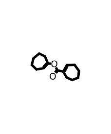 O=C(OC1=CCCCCC1)C1=CCCCCC1